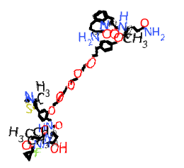 Cc1ncsc1-c1ccc(CNC(=O)[C@@H]2C[C@@H](O)CN2C(=O)[C@@H](NC(=O)C2(F)CC2)C(C)(C)C)c(OCCOCCOCCOCCOCCCc2ccc(CO[C@H](C)[C@H](CCC(N)=O)NC(=O)[C@@H]3Cc4cccc5c4N3C(=O)[C@@H](N)CC5)cc2)c1